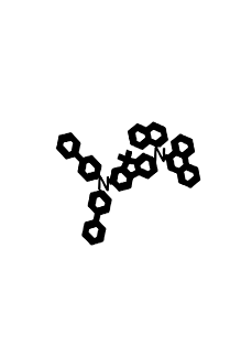 CC1(C)c2cc(N(c3ccc(-c4ccccc4)cc3)c3ccc(-c4ccccc4)cc3)ccc2-c2ccc(N(c3cccc4ccccc34)c3cc4ccccc4c4ccccc34)cc21